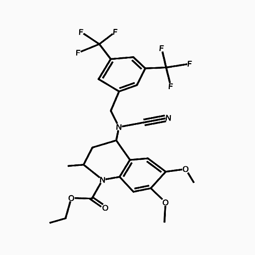 CCOC(=O)N1c2cc(OC)c(OC)cc2C(N(C#N)Cc2cc(C(F)(F)F)cc(C(F)(F)F)c2)CC1C